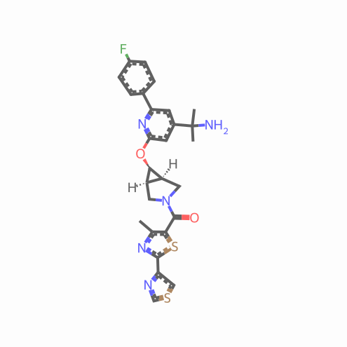 Cc1nc(-c2cscn2)sc1C(=O)N1C[C@@H]2[C@H](C1)[C@@H]2Oc1cc(C(C)(C)N)cc(-c2ccc(F)cc2)n1